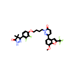 COc1ccc(-c2ccc(=O)n(CCCCOc3ccc(C4=NNC(=O)C4(C)C)c(F)c3F)n2)c2cc(C(F)(F)F)oc12